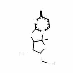 O=c1ccn2c(n1)OC1[C@@H](O)[C@@H](CO)S[C@H]12